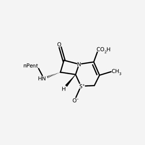 CCCCCN[C@@H]1C(=O)N2C(C(=O)O)=C(C)C[S+]([O-])[C@H]12